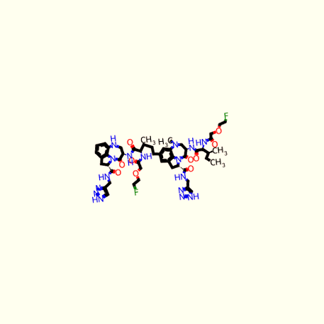 CC[C@H](C)[C@H](NC(=O)COCCF)C(=O)N[C@H]1CN(C)c2cc(CC[C@H](C)[C@H](NC(=O)COCCF)C(=O)N[C@H]3CNc4cccc5c4N(C3=O)[C@H](C(=O)NCc3c[nH]nn3)C5)cc3c2N(C1=O)[C@H](C(=O)NCc1c[nH]nn1)C3